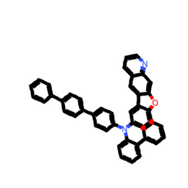 c1ccc(-c2ccc(-c3ccc(N(c4ccc5oc6cc7ncccc7cc6c5c4)c4ccccc4-c4ccccc4)cc3)cc2)cc1